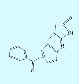 O=C1CN2Cc3cc(C(=O)c4ccccc4)ccc3N=C2N1